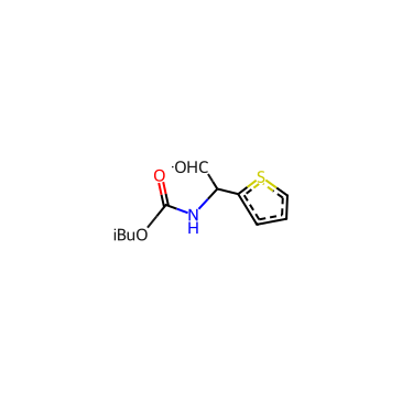 CC(C)COC(=O)NC([C]=O)c1cccs1